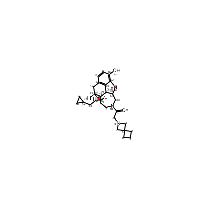 O=C(CN1CC2(CCC2)C1)N1CC[C@@]2(O)[C@H]3Cc4ccc(O)c5c4[C@@]2(CCN3CC2CC2)[C@H](C1)O5